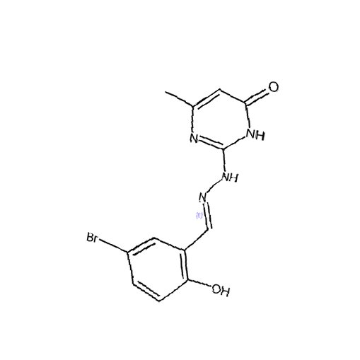 Cc1cc(=O)[nH]c(N/N=C/c2cc(Br)ccc2O)n1